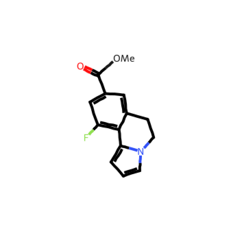 COC(=O)c1cc(F)c2c(c1)CCn1cccc1-2